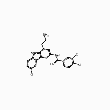 N=C(Nc1cc(CCN)c2[nH]c3ccc(Cl)cc3c2c1)c1ccc(Cl)c(Cl)c1